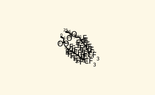 C=CC(=O)OCC(F)(F)C(F)(F)C(F)(F)C(F)(F)C(F)(F)C(F)(F)C(F)(F)F.C=CC(=O)OCCC(F)(F)C(F)(F)C(F)(F)C(F)(F)C(F)(F)C(F)(F)F